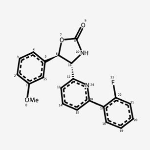 COc1cccc([C@H]2OC(=O)N[C@@H]2c2cccc(-c3ccccc3F)n2)c1